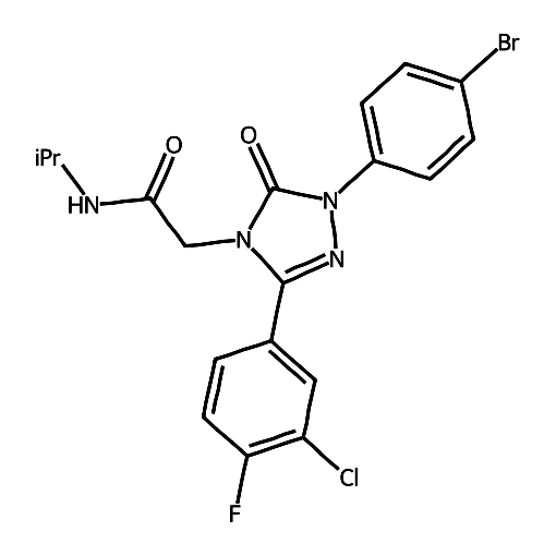 CC(C)NC(=O)Cn1c(-c2ccc(F)c(Cl)c2)nn(-c2ccc(Br)cc2)c1=O